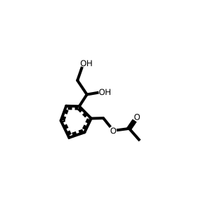 CC(=O)OCc1ccccc1C(O)CO